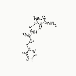 CCCCC(CNC(=O)OCc1ccccc1)NC(N)=O